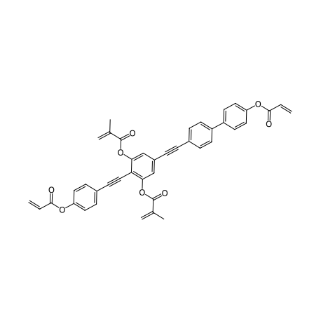 C=CC(=O)Oc1ccc(C#Cc2c(OC(=O)C(=C)C)cc(C#Cc3ccc(-c4ccc(OC(=O)C=C)cc4)cc3)cc2OC(=O)C(=C)C)cc1